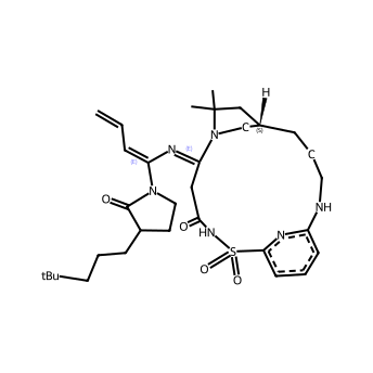 C=C/C=C(\N=C1/CC(=O)NS(=O)(=O)c2cccc(n2)NCCC[C@@H]2CN1C(C)(C)C2)N1CCC(CCCC(C)(C)C)C1=O